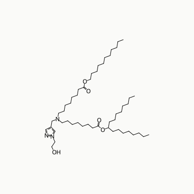 CCCCCCCCCCCOC(=O)CCCCCCCN(CCCCCCCC(=O)OC(CCCCCCCC)CCCCCCCC)Cc1cnn(CCO)c1